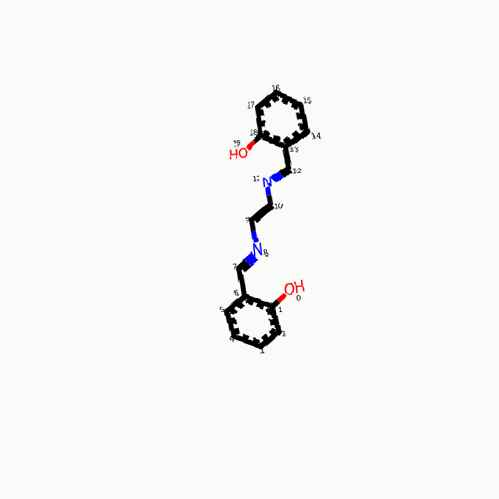 Oc1ccccc1C=NC=CN=Cc1ccccc1O